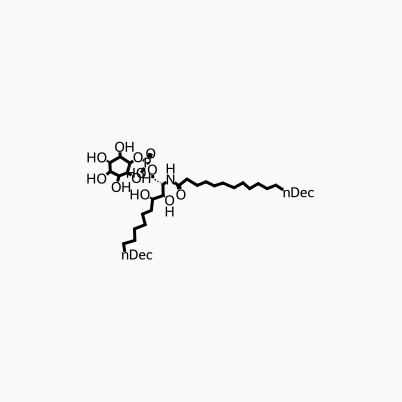 CCCCCCCCCCCCCCCCCCCCCC(=O)N[C@@H](COP(=O)(O)OC1C(O)C(O)C(O)[C@@H](O)C1O)[C@H](O)[C@H](O)CCCCCCCCCCCCCCCC